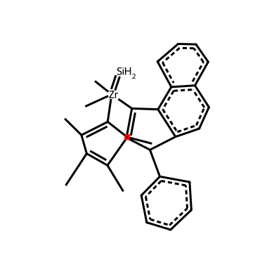 CC1=C(C)C(C)[C]([Zr]([CH3])([CH3])(=[SiH2])[C]2=CC(c3ccccc3)c3ccc4ccccc4c32)=C1C